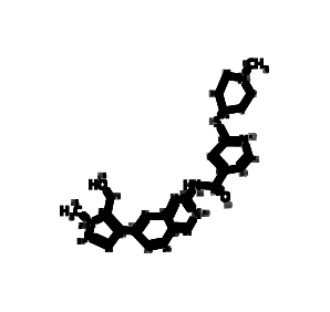 CN1CCC(Sc2cc(C(=O)Nc3cc4cc(-c5cnn(C)c5CO)ccc4cn3)ccn2)CC1